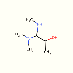 CNC(C(C)O)N(C)C